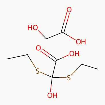 CCSC(O)(SCC)C(=O)O.O=C(O)CO